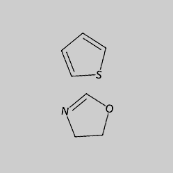 C1=NCCO1.c1ccsc1